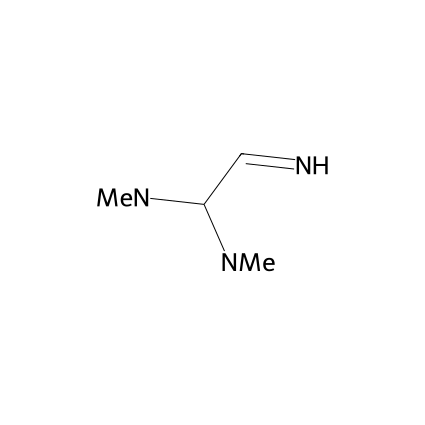 CNC(C=N)NC